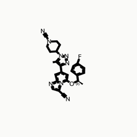 Cc1c(-c2cc(O[C@H](C)c3ccc(F)cc3)n3c(C#N)cnc3c2)nnn1C1CCN(C#N)CC1